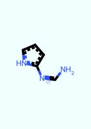 N/C=N\c1ccc[nH]1